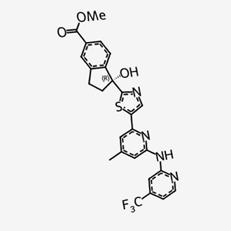 COC(=O)c1ccc2c(c1)CC[C@]2(O)c1ncc(-c2cc(C)cc(Nc3cc(C(F)(F)F)ccn3)n2)s1